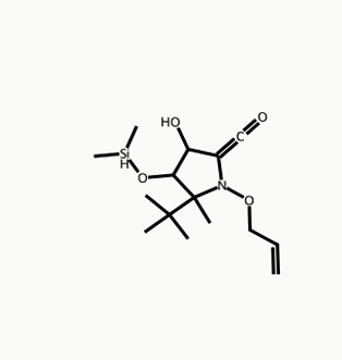 C=CCON1C(=C=O)C(O)C(O[SiH](C)C)C1(C)C(C)(C)C